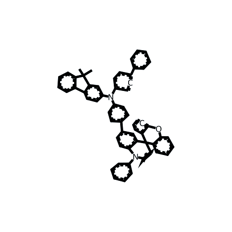 CC1(C)c2ccccc2-c2ccc(N(c3ccc(-c4ccccc4)cc3)c3ccc(-c4ccc5c(c4)C4(c6ccccc6Oc6ccccc64)c4ccccc4N5c4ccccc4)cc3)cc21